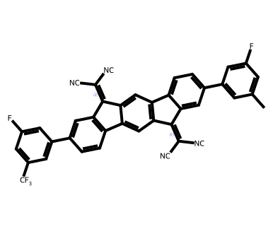 [C-]#[N+]/C(C#N)=C1/c2cc(-c3cc(F)cc(C(F)(F)F)c3)ccc2-c2cc3c(cc21)-c1ccc(-c2cc(C)cc(F)c2)cc1/C3=C(/C#N)[N+]#[C-]